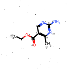 CCOC(=O)c1cnc(N)nc1C